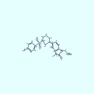 Cn1c(=O)n(CC(C)(C)C)c2ccc(C3CCCN(S(=O)(=O)c4ccc(F)cc4)C3)nc21